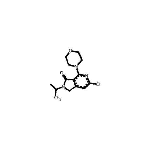 CC(N1Cc2cc(Cl)nc(N3CCOCC3)c2C1=O)C(F)(F)F